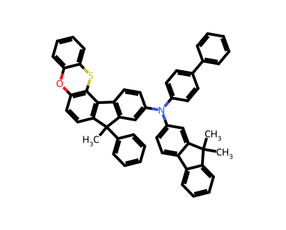 CC1(C)c2ccccc2-c2ccc(N(c3ccc(-c4ccccc4)cc3)c3ccc4c(c3)C(C)(c3ccccc3)c3ccc5c(c3-4)Sc3ccccc3O5)cc21